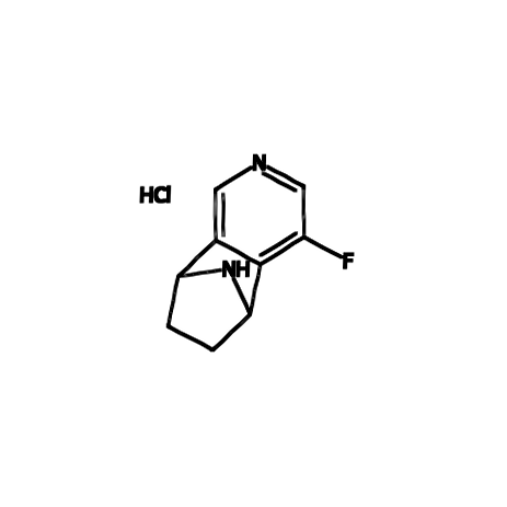 Cl.Fc1cncc2c1C1CCC2N1